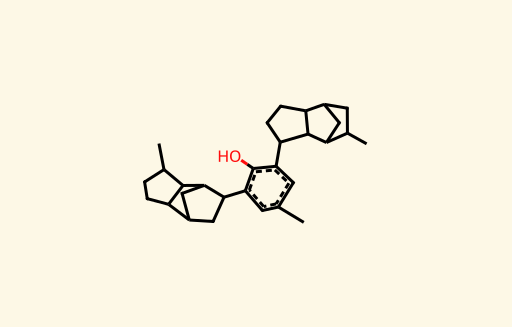 Cc1cc(C2CC3CC2C2C(C)CCC32)c(O)c(C2CCC3C4CC(C)C(C4)C23)c1